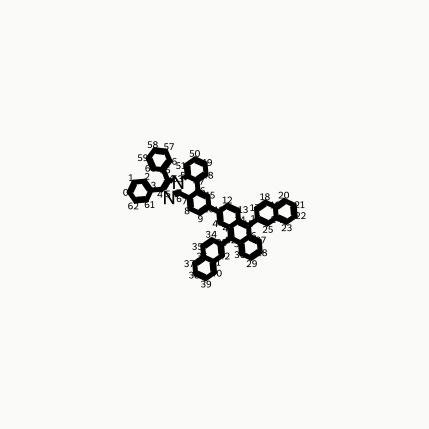 c1ccc(-c2nc3c4ccc(-c5ccc6c(-c7ccc8ccccc8c7)c7ccccc7c(-c7ccc8ccccc8c7)c6c5)cc4c4ccccc4n3c2-c2ccccc2)cc1